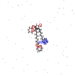 O=C1C[C@H](OC2CCCCO2)[C@H](C=CCCCCCCOC2CCCCO2)[C@@H]1CCCCCCc1nnn[nH]1